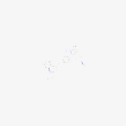 CCc1cc(OCc2ccc(-c3[nH]c(C)cc3CCC#N)cc2)c2ccccc2n1